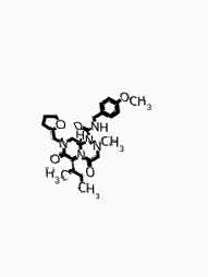 CCC(C)[C@H]1C(=O)N(CC2CCCO2)C[C@H]2N1C(=O)CN(C)N2C(=O)NCc1ccc(OC)cc1